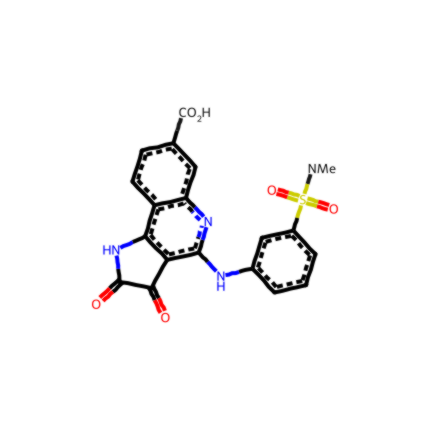 CNS(=O)(=O)c1cccc(Nc2nc3cc(C(=O)O)ccc3c3c2C(=O)C(=O)N3)c1